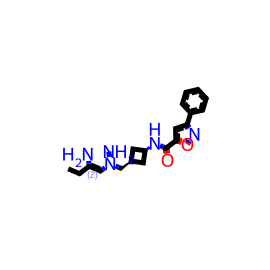 CC/C(N)=C/N(N)C[C@H]1C[C@@H](NC(=O)c2cc(-c3ccccc3)no2)C1